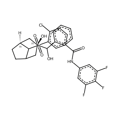 O=C(Nc1cc(F)c(F)c(F)c1)c1ccc(Cl)c(S(=O)(=O)C2C3CC[C@H]2C[C@](O)(C(O)c2ccccc2)C3)c1